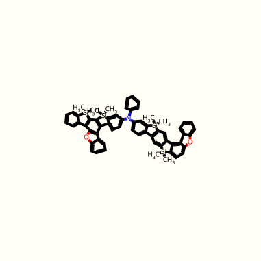 C[Si]1(C)c2cc(N(c3ccccc3)c3ccc4c(c3)[Si](C)(C)c3c5c(c6oc7ccccc7c6c3-4)-c3ccccc3[Si]5(C)C)ccc2-c2cc3c(cc21)-c1c(ccc2oc4ccccc4c12)[Si]3(C)C